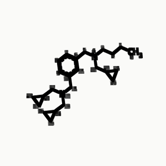 CCCCN(Cc1cccc(CN(CC2CC2)CC2CC2)c1)CC1CC1